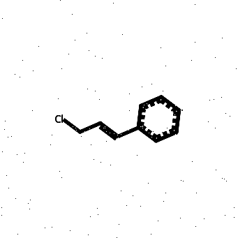 ClCC=Cc1cc[c]cc1